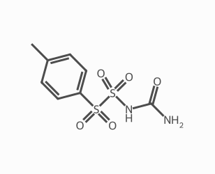 Cc1ccc(S(=O)(=O)S(=O)(=O)NC(N)=O)cc1